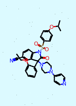 CCOc1ccccc1C1(N2CCN(c3ccncc3)CC2)C(=O)N(S(=O)(=O)c2ccc(OC(C)C)cc2)c2ccc(C#N)cc21